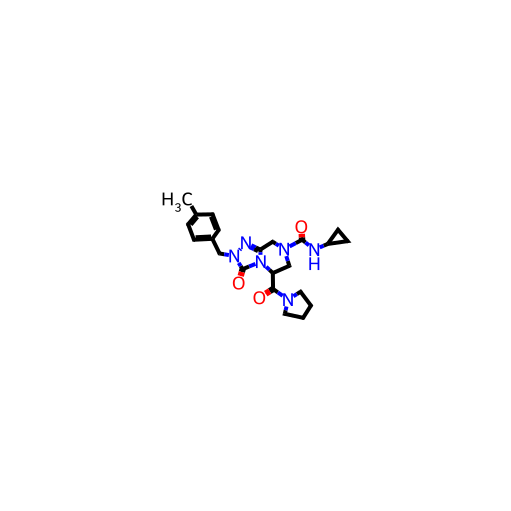 Cc1ccc(Cn2nc3n(c2=O)C(C(=O)N2CCCC2)CN(C(=O)NC2CC2)C3)cc1